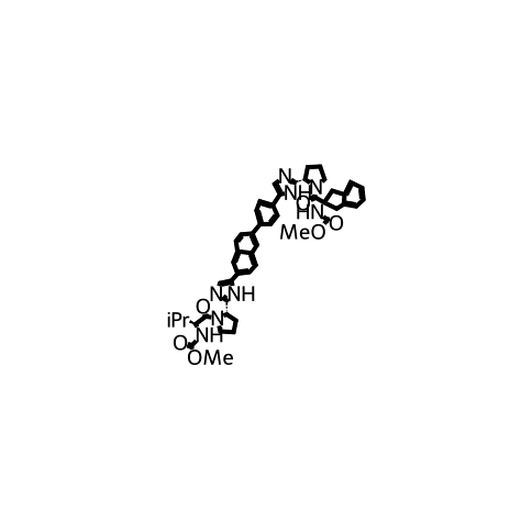 COC(=O)N[C@H](C(=O)N1CCC[C@H]1c1ncc(-c2ccc3cc(-c4ccc(-c5cnc([C@@H]6CCCN6C(=O)C6(NC(=O)OC)Cc7ccccc7C6)[nH]5)cc4)ccc3c2)[nH]1)C(C)C